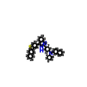 c1ccc(N(c2ccc(C3=Nc4ccccc4C(c4ccc5sc6cc7ccccc7cc6c5c4)N3)cc2)c2ccc3ccccc3c2)cc1